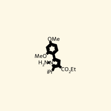 CCOC(=O)c1cc(-c2ccc(OC)cc2OC)n(N)c1C(C)C